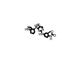 CCCCN(c1nc(Nc2ccc3c(c2)COC(=O)N3)ncc1F)c1cccc2[nH]ncc12